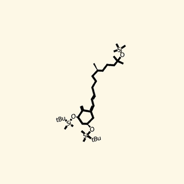 C=C1/C(=C\C=C\CCC[C@@H](C)CCCC(C)(C)O[Si](C)(C)C)C[C@@H](O[Si](C)(C)C(C)(C)C)C[C@@H]1O[Si](C)(C)C(C)(C)C